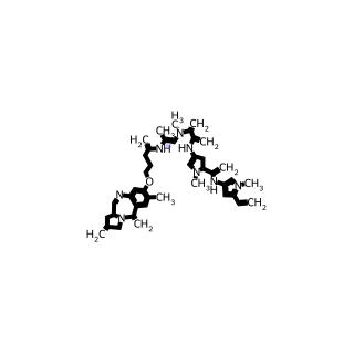 C=Cc1cc(NC(=C)C2CC(NC(=C)C(=C)N(C)/C=C(\C)NC(=C)CCCOc3cc4c(cc3C)C(=C)N3CC(=C)CC3C=N4)=CN2C)cn1C